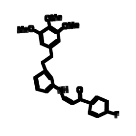 COc1cc(CCc2cccc(N/C=C\C(=O)c3ccc(F)cc3)c2)cc(OC)c1OC